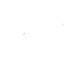 CCN[C@@H](CC)C(=O)N[C@@H]1C(=O)N(Cc2c(C)ccc3ccccc23)c2ccc(C#N)cc2N(C(=O)CS(C)(=O)=O)[C@H]1C.Cl